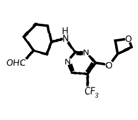 O=CC1CCCC(Nc2ncc(C(F)(F)F)c(OC3COC3)n2)C1